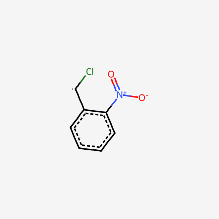 O=[N+]([O-])c1ccccc1[CH]Cl